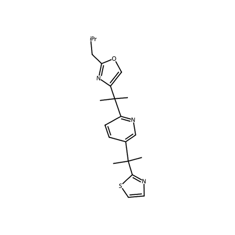 CC(C)Cc1nc(C(C)(C)c2ccc(C(C)(C)c3nccs3)cn2)co1